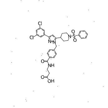 O=C(O)CCNC(=O)c1ccc(Cn2nc(-c3cc(Cl)cc(Cl)c3)cc2C2CCN(S(=O)(=O)c3ccccc3)CC2)cc1